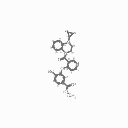 COC(=O)c1ccc(Br)c(Oc2ccncc2C(=O)N2CCN(C3CC3)c3ccccc32)c1